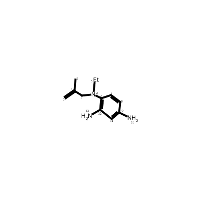 C=C(C)CN(CC)c1ccc(N)cc1N